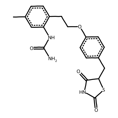 Cc1ccc(CCOc2ccc(CC3SC(=O)NC3=O)cc2)c(NC(N)=O)c1